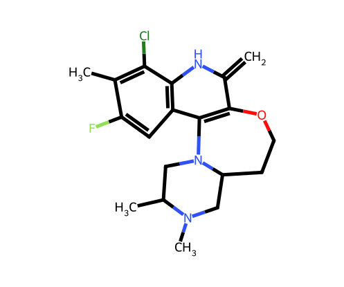 C=C1Nc2c(cc(F)c(C)c2Cl)C2=C1OCCC1CN(C)C(C)CN21